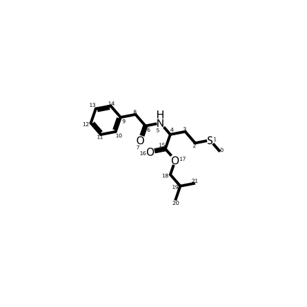 CSCCC(NC(=O)Cc1ccccc1)C(=O)OCC(C)C